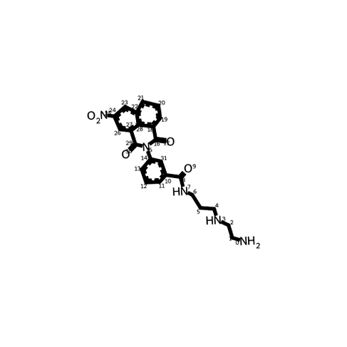 NCCNCCCNC(=O)c1cccc(N2C(=O)c3cccc4cc([N+](=O)[O-])cc(c34)C2=O)c1